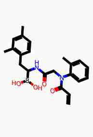 C=CC(=O)N(CC(=O)NC(Cc1ccc(C)cc1C)B(O)O)c1ccccc1C